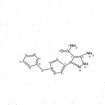 NC(=O)c1c(-c2ccc(Cc3ccccc3)cc2)n[nH]c1N